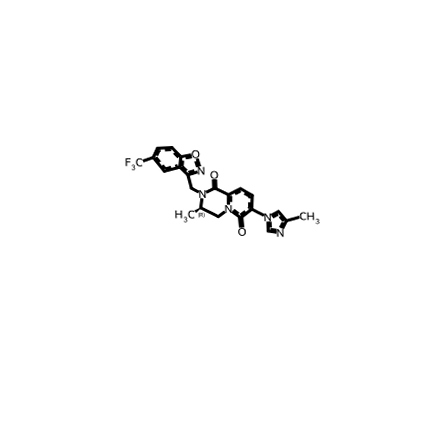 Cc1cn(-c2ccc3n(c2=O)C[C@@H](C)N(Cc2noc4ccc(C(F)(F)F)cc24)C3=O)cn1